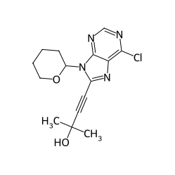 CC(C)(O)C#Cc1nc2c(Cl)ncnc2n1C1CCCCO1